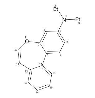 CCN(CC)c1ccc2c(c1)OC=Cc1ccccc1-2